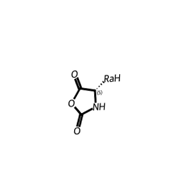 O=C1N[C@@H]([RaH])C(=O)O1